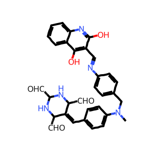 CN(Cc1ccc(N=Cc2c(O)nc3ccccc3c2O)cc1)c1ccc(C=C2C(C=O)NC(C=O)NC2C=O)cc1